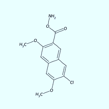 COc1cc2cc(OC)c(C(=O)ON)cc2cc1Cl